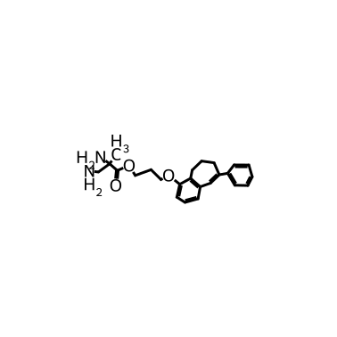 CC(N)(CN)C(=O)OCCCOc1cccc2c1CCCC(c1ccccc1)=C2